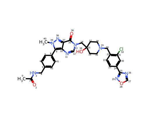 CC(=O)NCc1ccc(-c2c3ncn(CC4(O)CCN(Cc5ccc(-c6ncon6)cc5Cl)CC4)c(=O)c3nn2C)cc1